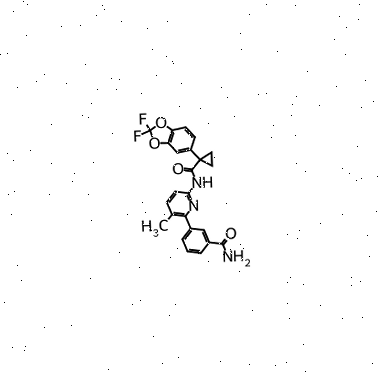 Cc1ccc(NC(=O)C2(c3ccc4c(c3)OC(F)(F)O4)CC2)nc1-c1cccc(C(N)=O)c1